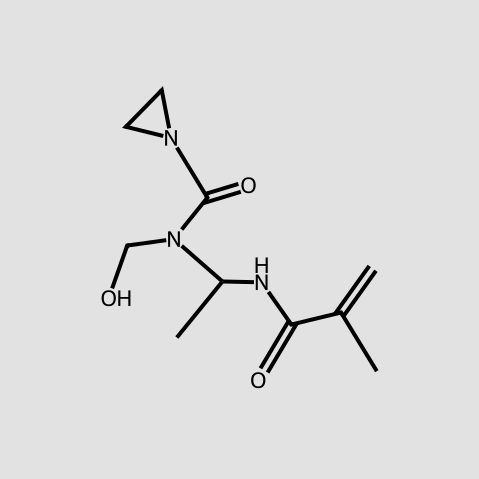 C=C(C)C(=O)NC(C)N(CO)C(=O)N1CC1